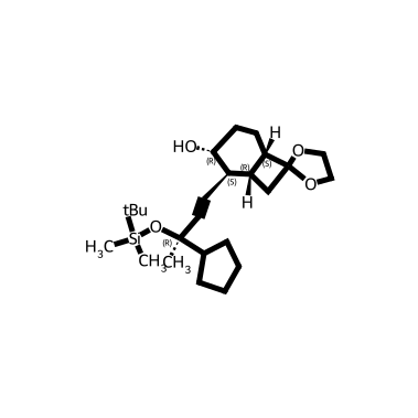 CC(C)(C)[Si](C)(C)O[C@@](C)(C#C[C@@H]1[C@H]2CC3(OCCO3)[C@H]2CC[C@H]1O)C1CCCC1